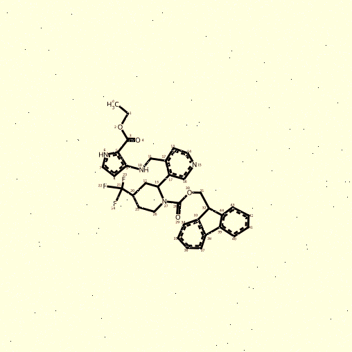 CCOC(=O)c1[nH]ccc1NCc1ccncc1C1CC(C(F)(F)F)CCN1C(=O)OCC1c2ccccc2-c2ccccc21